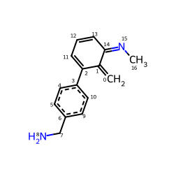 C=C1C(c2ccc(CN)cc2)=CC=C/C1=N/C